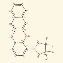 CC1(C)OB(c2cccc3c2Oc2cc4ccccc4cc2O3)OC1(C)C